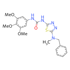 COc1cc(NC(=O)Nc2nnc(N(C)Cc3ccccc3)s2)cc(OC)c1OC